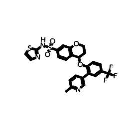 Cc1ccc(-c2cc(C(F)(F)F)ccc2OC2CCOc3cc(S(=O)(=O)Nc4nccs4)ccc32)cn1